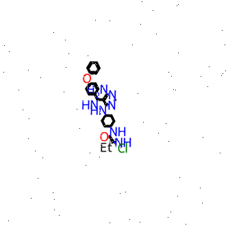 CC[C@@H](NCl)C(=O)NC1CCC(Nc2ncnc(N)c2C(=N)c2ccc(Oc3ccccc3)cc2)CC1